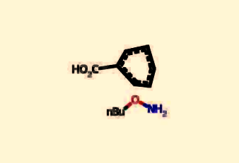 CCCCON.O=C(O)c1ccccc1